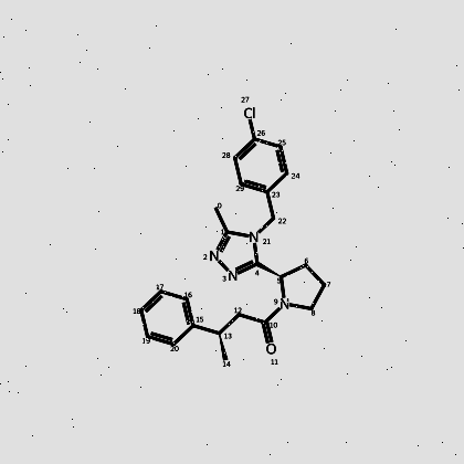 Cc1nnc([C@H]2CCCN2C(=O)C[C@@H](C)c2ccccc2)n1Cc1ccc(Cl)cc1